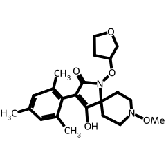 CON1CCC2(CC1)C(O)=C(c1c(C)cc(C)cc1C)C(=O)N2OC1CCOC1